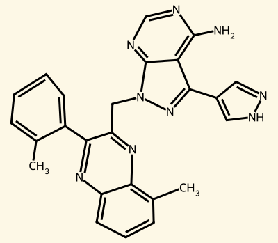 Cc1ccccc1-c1nc2cccc(C)c2nc1Cn1nc(-c2cn[nH]c2)c2c(N)ncnc21